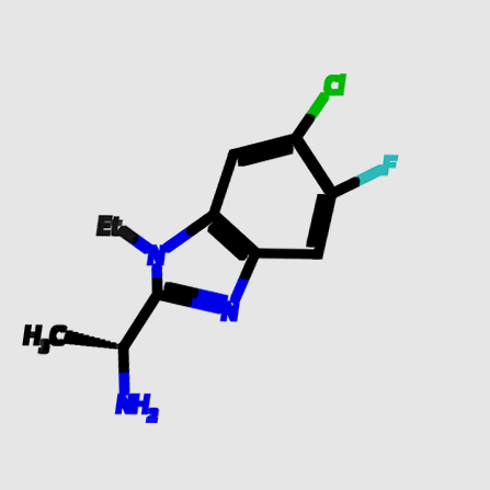 CCn1c([C@@H](C)N)nc2cc(F)c(Cl)cc21